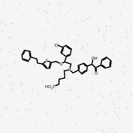 O=C(O)CCCCN(Cc1ccc(C(O)C(=O)c2ccccc2)cc1)CC(OCc1ccc(CCc2ccccc2)s1)c1cccc(Cl)c1